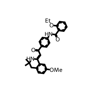 CCOc1ccccc1C(=O)Nc1ccc(C(=O)/C=C2\NC(C)(C)Cc3ccc(OC)cc32)cc1